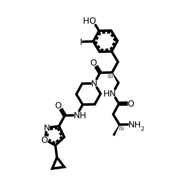 C[C@H](N)CC(=O)NC[C@H](Cc1ccc(O)c(I)c1)C(=O)N1CCC(NC(=O)c2cc(C3CC3)on2)CC1